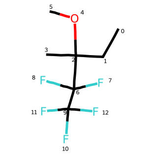 CCC(C)(OC)C(F)(F)C(F)(F)F